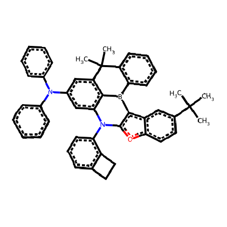 CC(C)(C)c1ccc2oc3c(c2c1)B1c2ccccc2C(C)(C)c2cc(N(c4ccccc4)c4ccccc4)cc(c21)N3c1cccc2c1CC2